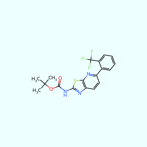 CC(C)(C)OC(=O)Nc1nc2ccc(-c3ccccc3C(F)(F)F)nc2s1